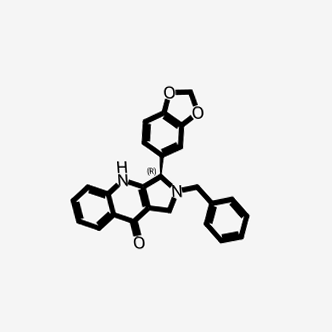 O=c1c2c([nH]c3ccccc13)[C@@H](c1ccc3c(c1)OCO3)N(Cc1ccccc1)C2